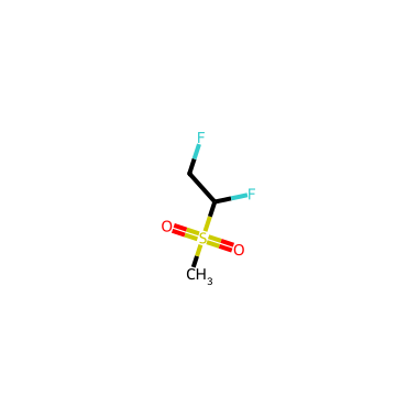 CS(=O)(=O)C(F)CF